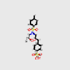 Cc1ccc(S(=O)(=O)N(CCCc2ccc(S(=O)(=O)O)cc2)C[C@@H](C)O)cc1